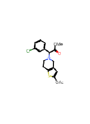 COC(=O)C(c1cccc(Cl)c1)N1CCc2sc(OC(C)=O)cc2C1